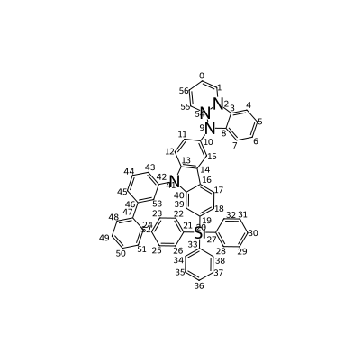 C1=CN2c3ccccc3N(c3ccc4c(c3)c3ccc([Si](c5ccccc5)(c5ccccc5)c5ccccc5)cc3n4-c3cccc(-c4ccccc4)c3)N2C=C1